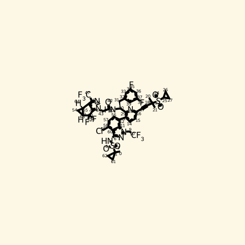 CC1(S(=O)(=O)Nc2nn(CC(F)(F)F)c3c(-c4ccc(C#CC(C)(C)S(=O)(=O)C5CC5)nc4[C@H](Cc4cc(F)cc(F)c4)NC(=O)Cn4nc(C(F)(F)F)c5c4C(F)(F)[C@@H]4C[C@H]54)ccc(Cl)c23)CC1